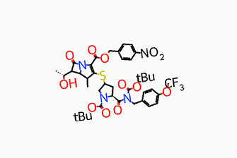 CC1C(S[C@H]2C[C@@H](C(=O)N(Cc3ccc(OC(F)(F)F)cc3)C(=O)OC(C)(C)C)N(C(=O)OC(C)(C)C)C2)=C(C(=O)OCc2ccc([N+](=O)[O-])cc2)N2C(=O)C([C@@H](C)O)C12